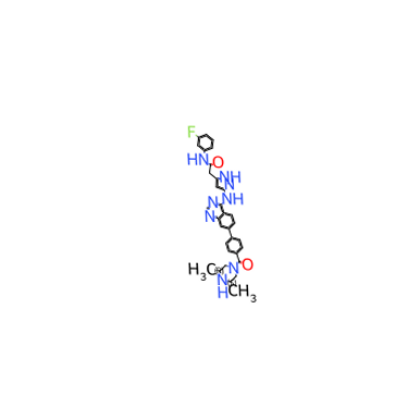 C[C@@H]1CN(C(=O)c2ccc(-c3ccc4c(Nc5cc(CC(=O)Nc6cccc(F)c6)[nH]n5)ncnc4c3)cc2)C[C@H](C)N1